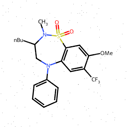 CCCCC1CN(c2ccccc2)c2cc(C(F)(F)F)c(OC)cc2S(=O)(=O)N1C